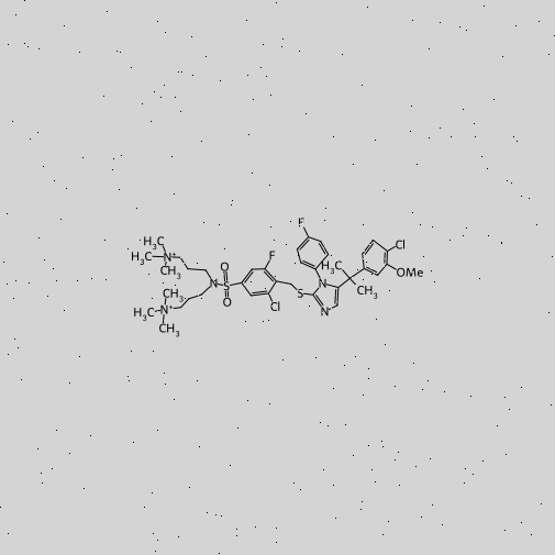 COc1cc(C(C)(C)c2cnc(SCc3c(F)cc(S(=O)(=O)N(CCC[N+](C)(C)C)CCC[N+](C)(C)C)cc3Cl)n2-c2ccc(F)cc2)ccc1Cl